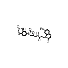 O=C(CCn1c(=O)ccc2ccc(Br)cc21)NCC1CN(c2ccc3c(c2)NC(=O)CS3)C(=O)O1